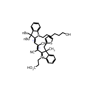 CCCCC1(CCCC)/C(=C/C(C#N)=C(\C#N)C2=[N+](CCC(=O)O)c3ccccc3C2(C)Cc2cccs2)N(CCCCCCO)c2ccccc21